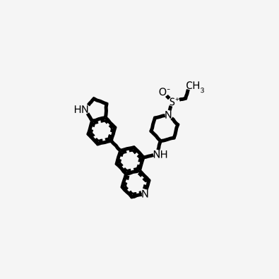 CC[S+]([O-])N1CCC(Nc2cc(-c3ccc4c(c3)CCN4)cc3ccncc23)CC1